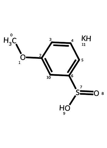 COc1cccc(S(=O)O)c1.[KH]